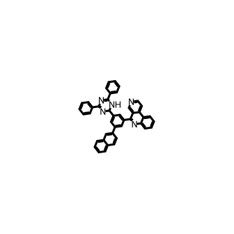 c1ccc(C2=NC(c3cc(-c4ccc5ccccc5c4)cc(-c4nc5ccccc5c5ccncc45)c3)NC(c3ccccc3)=N2)cc1